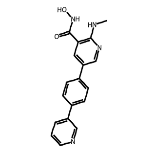 CNc1ncc(-c2ccc(-c3cccnc3)cc2)cc1C(=O)NO